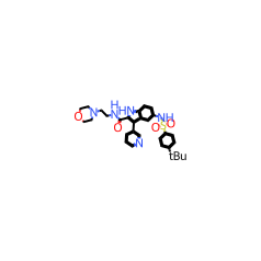 CC(C)(C)c1ccc(S(=O)(=O)Nc2ccc3[nH]c(C(=O)NCCN4CCOCC4)c(-c4cccnc4)c3c2)cc1